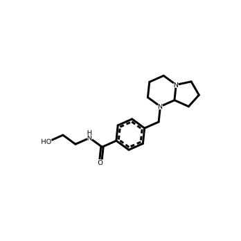 O=C(NCCO)c1ccc(CN2CCCN3CCCC32)cc1